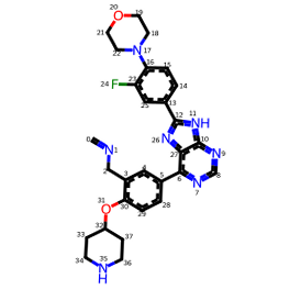 C=NCc1cc(-c2ncnc3[nH]c(-c4ccc(N5CCOCC5)c(F)c4)nc23)ccc1OC1CCNCC1